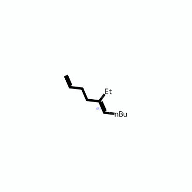 C=CCC/C(=C/CCCC)CC